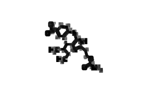 CCC(C)Cc1nc(CCOC(N)=O)[nH]c1Sc1ccc([N+](=O)[O-])cc1